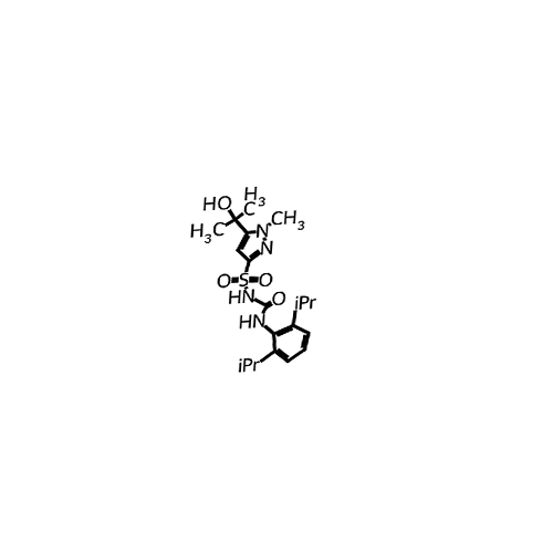 CC(C)c1cccc(C(C)C)c1NC(=O)NS(=O)(=O)c1cc(C(C)(C)O)n(C)n1